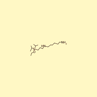 CCO[Si](CCCNCCCCCCN)(C(C)C)C(C)C